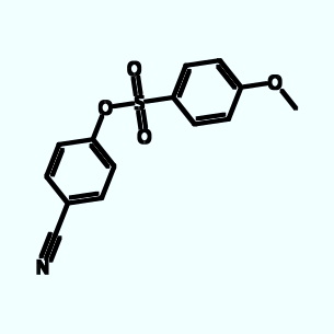 COc1ccc(S(=O)(=O)Oc2ccc(C#N)cc2)cc1